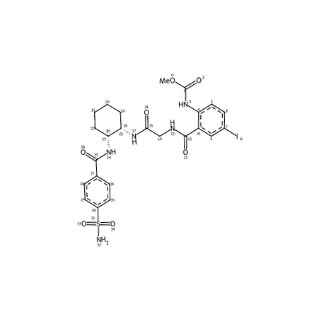 COC(=O)Nc1ccc(I)cc1C(=O)NCC(=O)N[C@H]1CCCC[C@H]1NC(=O)c1ccc(S(N)(=O)=O)cc1